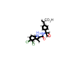 Cc1c(C(=O)NC2(c3ccc([C@H](C)C(=O)O)cc3)COC2)[nH]c2ccc(Cl)c(Cl)c12